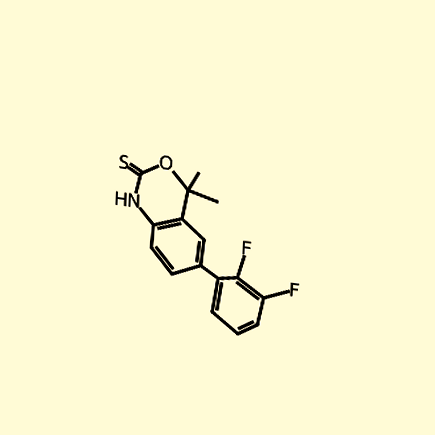 CC1(C)OC(=S)Nc2ccc(-c3cccc(F)c3F)cc21